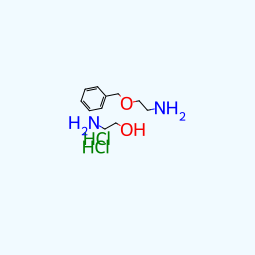 Cl.Cl.NCCO.NCCOCc1ccccc1